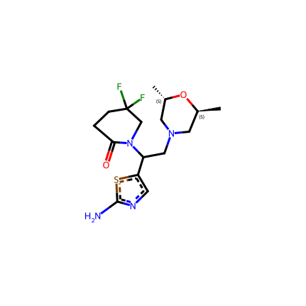 C[C@H]1CN(CC(c2cnc(N)s2)N2CC(F)(F)CCC2=O)C[C@H](C)O1